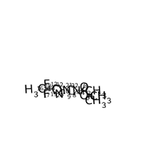 CC(C)(C)OC(=O)N1CCN(c2ccc(C(C)(F)F)cn2)CC1